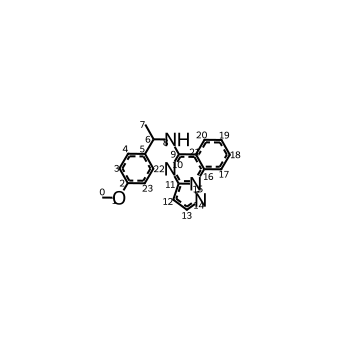 COc1ccc(C(C)Nc2nc3ccnn3c3ccccc23)cc1